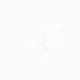 O=P([O-])([O-])O.[Mn+2]